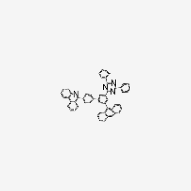 c1ccc(-c2nc(-c3ccccc3)nc(-c3cc(-c4ccc(-c5nc6ccccc6c6ccccc56)cc4)cc(-c4c5ccccc5cc5ccccc45)c3)n2)cc1